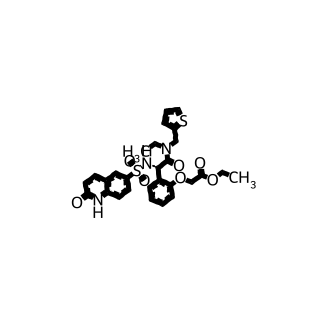 CCOC(=O)COc1ccccc1[C@H](NS(=O)(=O)c1ccc2[nH]c(=O)ccc2c1)C(=O)N(CC)Cc1cccs1